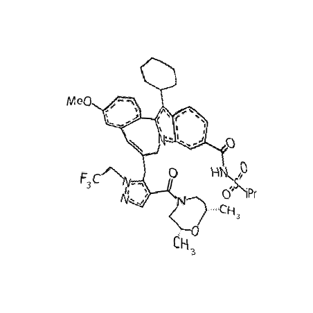 COc1ccc2c(c1)C=C(c1c(C(=O)N3C[C@@H](C)O[C@@H](C)C3)cnn1CC(F)(F)F)Cn1c-2c(C2CCCCC2)c2ccc(C(=O)NS(=O)(=O)C(C)C)cc21